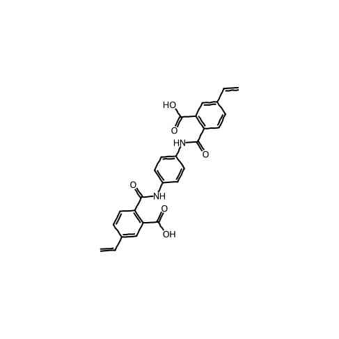 C=Cc1ccc(C(=O)Nc2ccc(NC(=O)c3ccc(C=C)cc3C(=O)O)cc2)c(C(=O)O)c1